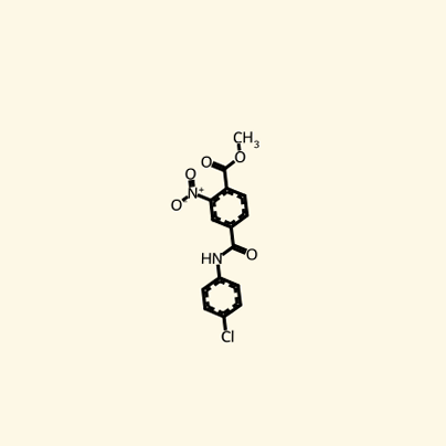 COC(=O)c1ccc(C(=O)Nc2ccc(Cl)cc2)cc1[N+](=O)[O-]